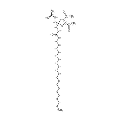 CCCCCCCCCCCCCCCCCCCCCC(=O)OCC(COC(C)=O)(COC(C)=O)COC(C)=O